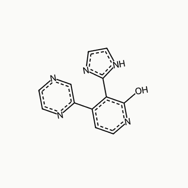 Oc1nccc(-c2cnccn2)c1-c1ncc[nH]1